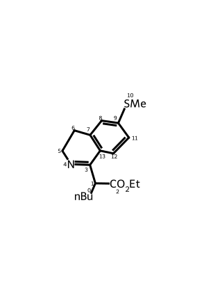 CCCCC(C(=O)OCC)C1=NCCc2cc(SC)ccc21